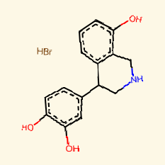 Br.Oc1ccc(C2CNCc3c(O)cccc32)cc1O